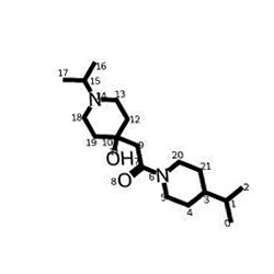 CC(C)C1CCN(C(=O)CC2(O)CCN(C(C)C)CC2)CC1